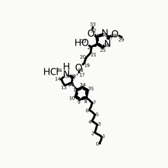 CCCCCCCCc1ccc([C@H]2CCN[C@@H]2COCCCC(O)c2cnc(OC)nc2OC)cc1.Cl